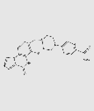 CNC(=O)c1ccc(N2CCN(Cc3ccc4c([nH]c(=O)c5cncn54)c3F)CC2)cn1